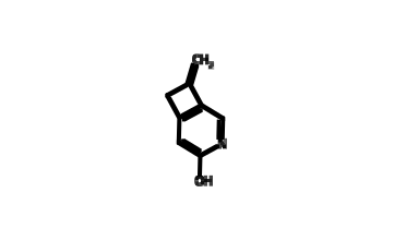 C=C1Cc2cc(O)ncc21